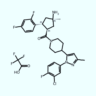 Cc1cc(C2CCN(C(=O)[C@@H]3C[C@](C)(N)C[C@H]3c3ccc(F)cc3F)CC2)n(-c2ccc(F)c(Cl)c2)n1.O=C(O)C(F)(F)F